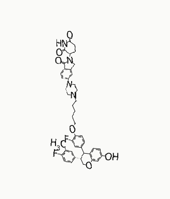 Cc1cc([C@H]2COc3cc(O)ccc3C2c2ccc(OCCCCCN3CCN(c4ccc5c(c4)CN(C4CCC(=O)NC4=O)C5=O)CC3)c(F)c2)ccc1F